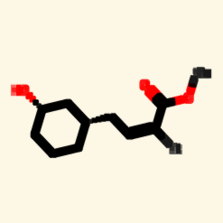 CCC(=CC[C@@H]1CCC[C@H](O)C1)C(=O)OC(C)(C)C